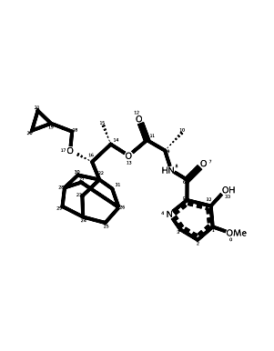 COc1ccnc(C(=O)N[C@@H](C)C(=O)O[C@@H](C)[C@@H](OCC2CC2)C23CC4CC(CC(C4)C2)C3)c1O